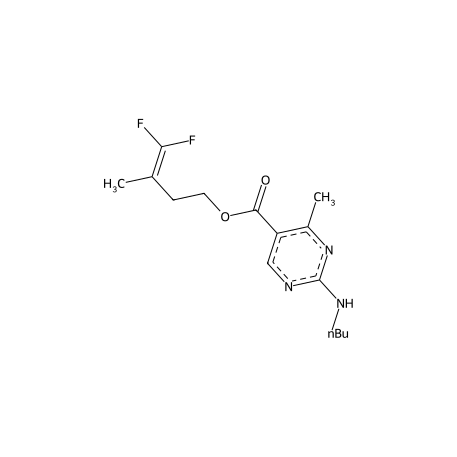 CCCCNc1ncc(C(=O)OCCC(C)=C(F)F)c(C)n1